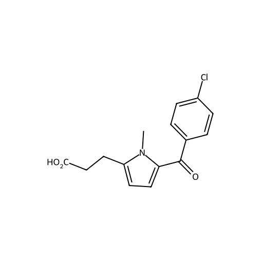 Cn1c(CCC(=O)O)ccc1C(=O)c1ccc(Cl)cc1